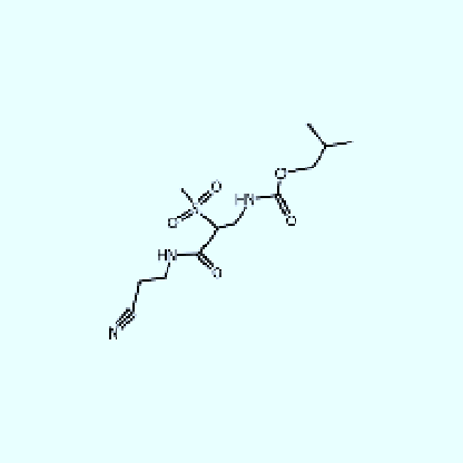 CC(C)COC(=O)NCC(C(=O)NCCC#N)S(C)(=O)=O